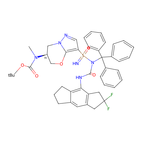 CN(C(=O)OC(C)(C)C)[C@@H]1COc2c(S(=N)(=O)N(C(=O)Nc3c4c(cc5c3CC(F)(F)C5)CCC4)C(c3ccccc3)(c3ccccc3)c3ccccc3)cnn2C1